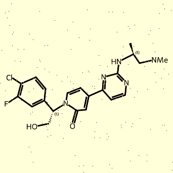 CNC[C@H](C)Nc1nccc(-c2ccn([C@H](CO)c3ccc(Cl)c(F)c3)c(=O)c2)n1